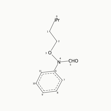 CC(C)CCON(C=O)c1ccccc1